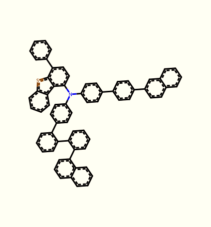 c1ccc(-c2ccc(N(c3ccc(-c4ccc(-c5ccc6ccccc6c5)cc4)cc3)c3ccc(-c4ccccc4-c4ccccc4-c4cccc5ccccc45)cc3)c3c2sc2ccccc23)cc1